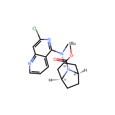 CN(c1nc(Cl)cc2ncccc12)[C@@H]1C[C@H]2CC[C@@H](C1)N2C(=O)OC(C)(C)C